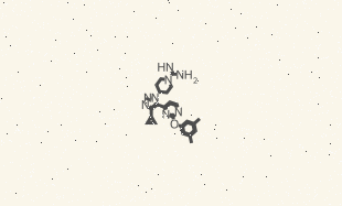 Cc1cc(C)cc(Oc2nccc(-c3c(C4CC4)nnn3C3CCN(C(=N)N)CC3)n2)c1